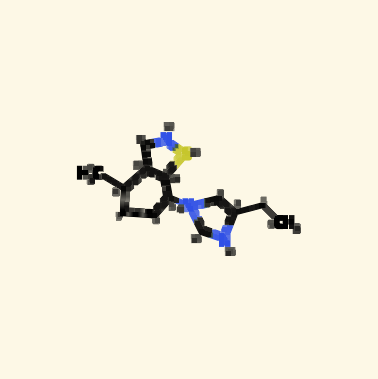 CCc1cn(-c2ccc(C)c3cnsc23)cn1